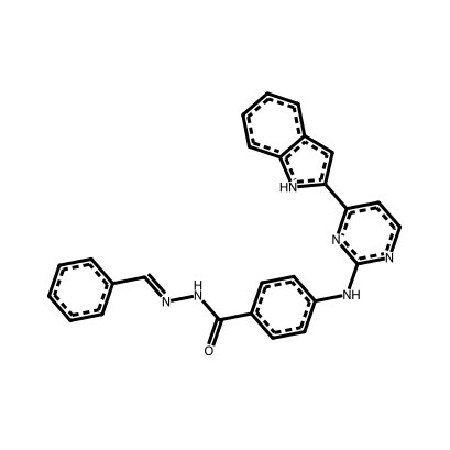 O=C(NN=Cc1ccccc1)c1ccc(Nc2nccc(-c3cc4ccccc4[nH]3)n2)cc1